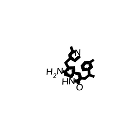 Cc1cccc(C(C)Cc2cc3cc(Cc4ccnc(C)c4)c(N)cc3[nH]c2=O)c1